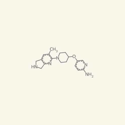 Cc1cc2c(nc1N1CCC(Oc3ccc(N)nc3)CC1)CNC2